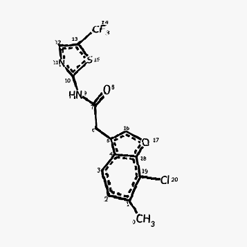 Cc1ccc2c(CC(=O)Nc3ncc(C(F)(F)F)s3)coc2c1Cl